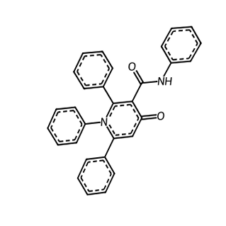 O=C(Nc1ccccc1)c1c(-c2ccccc2)n(-c2ccccc2)c(-c2ccccc2)cc1=O